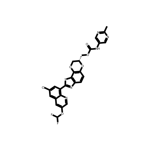 Cc1ncc(NC(=O)OC[C@H]2COc3c(ccc4nc(-c5cc(Cl)cc6cc(OC(F)F)cnc56)sc34)O2)cn1